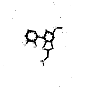 CNCC1Cc2cc(OC)cc(-c3cccc(F)c3F)c2O1